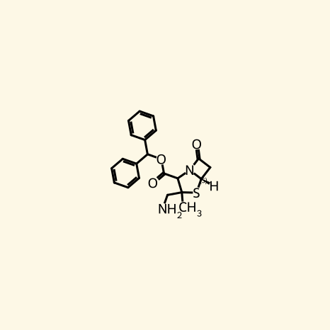 CC1(CN)S[C@H]2CC(=O)N2C1C(=O)OC(c1ccccc1)c1ccccc1